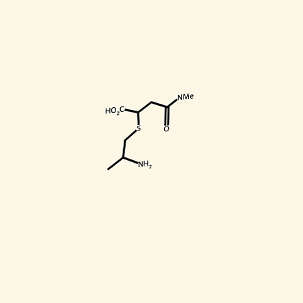 CNC(=O)CC(SCC(C)N)C(=O)O